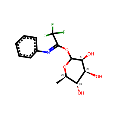 C[C@H]1OC(OC(=Nc2ccccc2)C(F)(F)F)[C@@H](O)[C@@H](O)[C@@H]1O